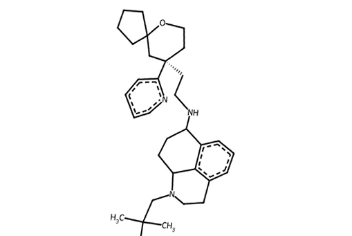 CC(C)(O)CN1CCc2cccc3c2C1CCC3NCC[C@@]1(c2ccccn2)CCOC2(CCCC2)C1